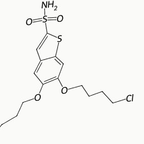 NS(=O)(=O)c1cc2cc(OCCCCl)c(OCCCCCl)cc2s1